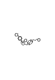 COCCCN1CCN(CC2CCN(c3ccc(Cl)cc3)C2=O)CC1